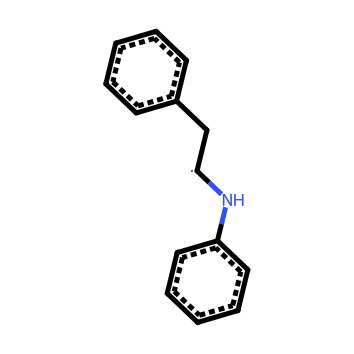 [CH](Cc1ccccc1)Nc1ccccc1